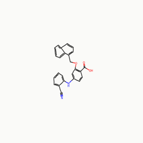 N#Cc1ccccc1Nc1ccc(C(=O)O)c(OCc2cccc3ccccc23)c1